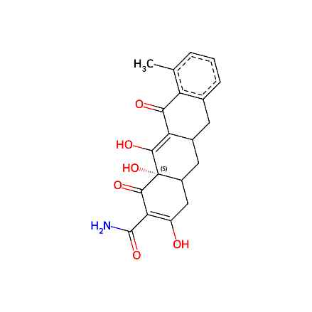 Cc1cccc2c1C(=O)C1=C(O)[C@]3(O)C(=O)C(C(N)=O)=C(O)CC3CC1C2